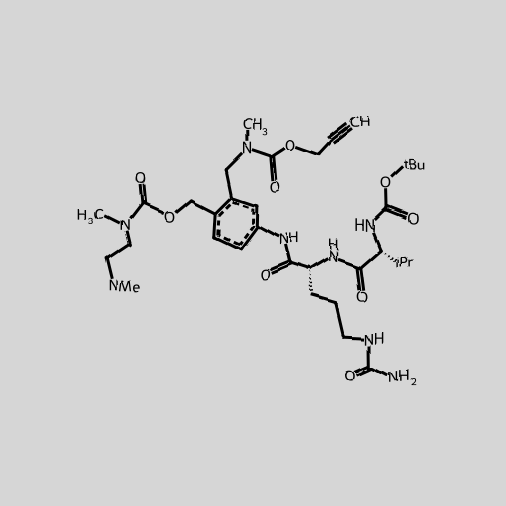 C#CCOC(=O)N(C)Cc1cc(NC(=O)[C@@H](CCCNC(N)=O)NC(=O)[C@H](NC(=O)OC(C)(C)C)C(C)C)ccc1COC(=O)N(C)CCNC